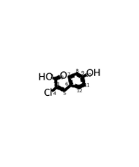 O=C(O)/C(Cl)=C\c1ccc(O)cc1